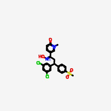 Cn1cc(/C(CC(c2ccc(S(C)(=O)=O)cc2)c2cc(Cl)cc(Cl)c2)=N\O)ccc1=O